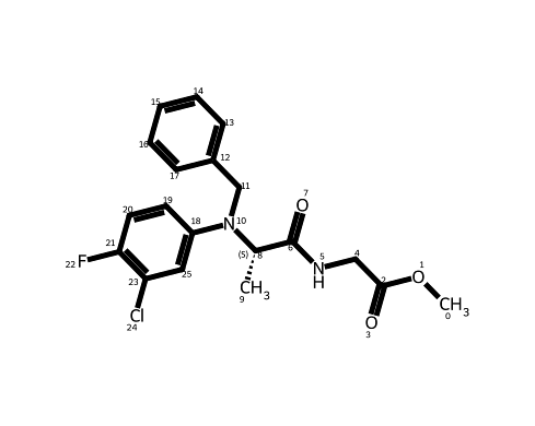 COC(=O)CNC(=O)[C@H](C)N(Cc1ccccc1)c1ccc(F)c(Cl)c1